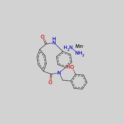 NN.O=C1Nc2ccc(cc2)N(Cc2ccccc2O)C(=O)c2ccc1cc2.[Mn]